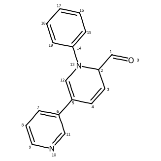 O=CC1C=CC(c2cccnc2)=CN1c1ccccc1